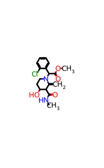 C=C1C(C(=O)NC)C(O)CCN1C(C(=O)OC)c1ccccc1Cl